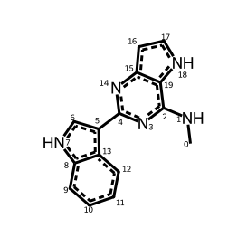 CNc1nc(-c2c[nH]c3ccccc23)nc2cc[nH]c12